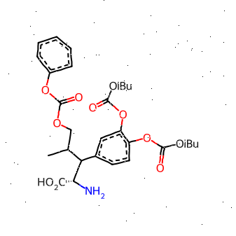 CC(C)COC(=O)Oc1ccc(C(C(C)COC(=O)Oc2ccccc2)[C@H](N)C(=O)O)cc1OC(=O)OCC(C)C